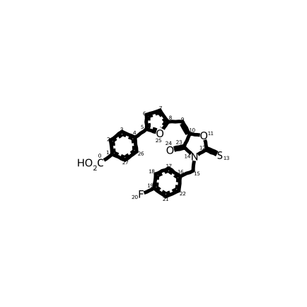 O=C(O)c1ccc(-c2ccc(C=C3OC(=S)N(Cc4ccc(F)cc4)C3=O)o2)cc1